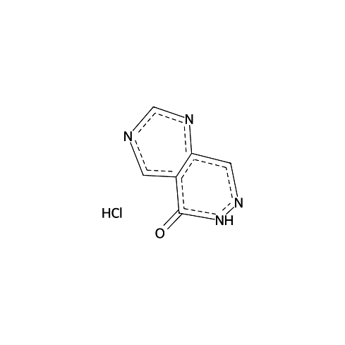 Cl.O=c1[nH]ncc2ncncc12